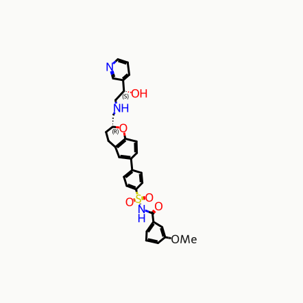 COc1cccc(C(=O)NS(=O)(=O)c2ccc(-c3ccc4c(c3)CC[C@H](CNC[C@@H](O)c3cccnc3)O4)cc2)c1